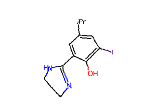 CC(C)c1cc(I)c(O)c(C2=NCCN2)c1